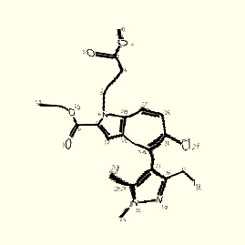 COC(=O)CCn1c(C(=O)OC)cc2c(-c3c(CI)nn(C)c3C)c(Cl)ccc21